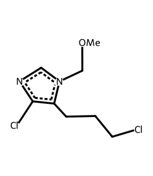 COCn1cnc(Cl)c1CCCCl